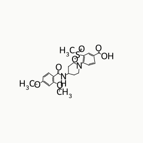 COc1ccc(C(=O)NC2CCN(c3ccc(C(=O)O)cc3S(C)(=O)=O)CC2)c(OC)c1